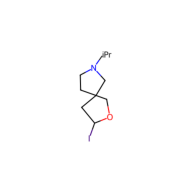 CC(C)N1CCC2(COC(I)C2)C1